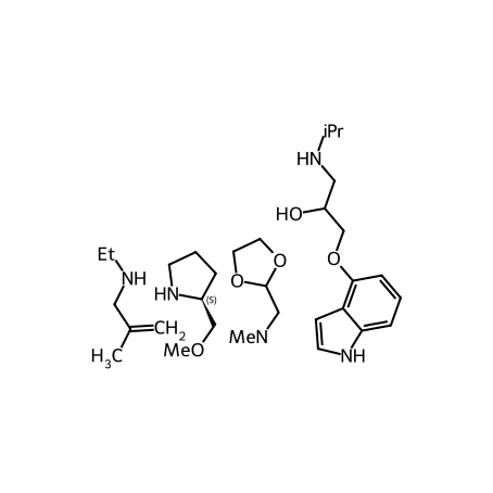 C=C(C)CNCC.CC(C)NCC(O)COc1cccc2[nH]ccc12.CNCC1OCCO1.COC[C@@H]1CCCN1